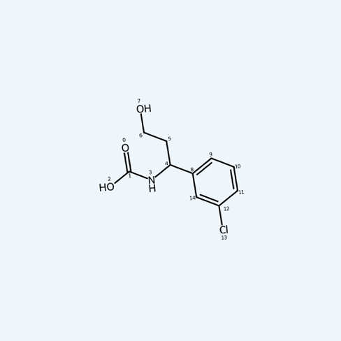 O=C(O)NC(CCO)c1cccc(Cl)c1